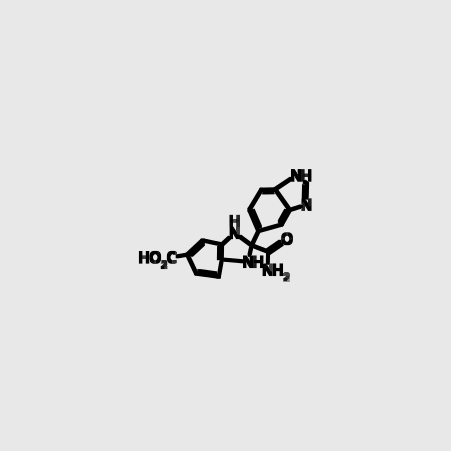 NC(=O)C1(c2ccc3[nH]cnc3c2)Nc2ccc(C(=O)O)cc2N1